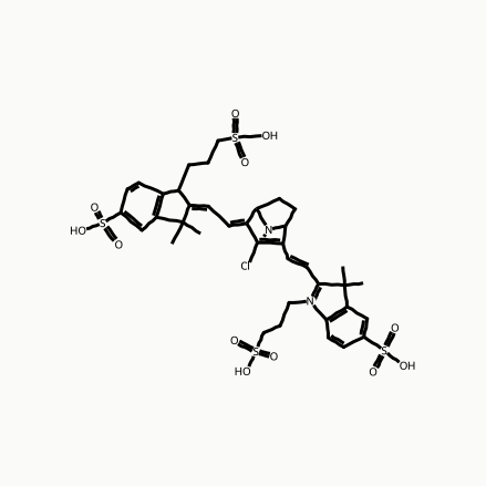 CN1C2CCC1/C(=C\C=C1\C(CCCS(=O)(=O)O)c3ccc(S(=O)(=O)O)cc3C1(C)C)C(Cl)=C2/C=C/C1=[N+](CCCS(=O)(=O)O)c2ccc(S(=O)(=O)O)cc2C1(C)C